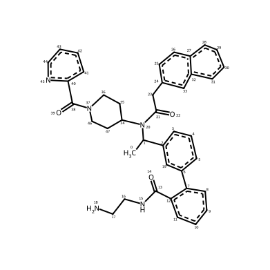 CC(c1cccc(-c2ccccc2C(=O)NCCN)c1)N(C(=O)Cc1ccc2ccccc2c1)C1CCN(C(=O)c2ccccn2)CC1